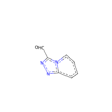 O=Cc1nnc2ccccn12